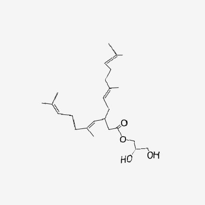 CC(C)=CCC/C(C)=C/CC(/C=C(\C)CCC=C(C)C)CC(=O)OCC(O)CO